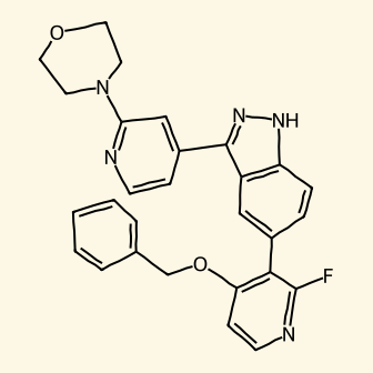 Fc1nccc(OCc2ccccc2)c1-c1ccc2[nH]nc(-c3ccnc(N4CCOCC4)c3)c2c1